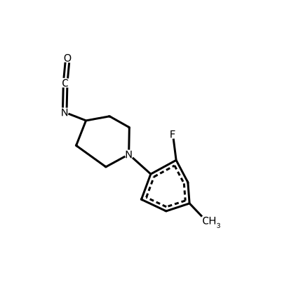 Cc1ccc(N2CCC(N=C=O)CC2)c(F)c1